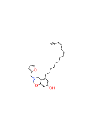 CCC/C=C\C/C=C\CCCCCCCc1cc(O)cc2c1CN(Cc1ccco1)CO2